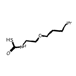 CC(C)CCCOCCNC(=O)S